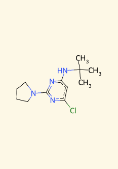 CC(C)(C)Nc1cc(Cl)nc(N2CCCC2)n1